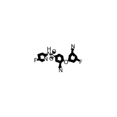 N#Cc1cc(F)cc(Oc2ccc(S(=O)(=O)Nc3ccc(F)cn3)cc2C#N)c1